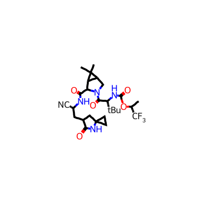 CC(OC(=O)NC(C(=O)N1CC2C(C1C(=O)NC(C#N)CC1CC3(CC3)NC1=O)C2(C)C)C(C)(C)C)C(F)(F)F